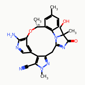 Cc1ccc2c(c1)[C@@H](C)Oc1cc(cnc1N)-c1c(nn(C)c1C#N)CC1=NC(=O)C(C)(CO)N12